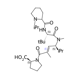 C/C(=C\[C@H](C(C)C)N(C)C(=O)[C@@H](NC(=O)C1CCCCN1C(C)C)C(C)(C)C)C(=O)N1CCC[C@H]1C(=O)O